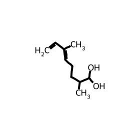 C=CC(C)=CCCC(C)C(O)O